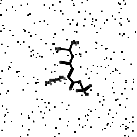 CCS(=O)(=O)OC(=O)/C=C/C(=O)OC(C)S(=O)(=O)O.[SrH2].[SrH2].[SrH2].[SrH2]